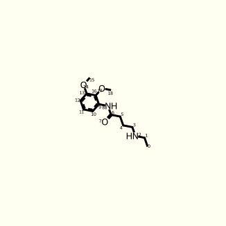 CCNCCCC(=O)Nc1cccc(OC)c1OC